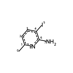 Cc1ccc(I)c(N)n1